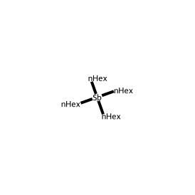 CCCCC[CH2][Sb]([CH2]CCCCC)([CH2]CCCCC)[CH2]CCCCC